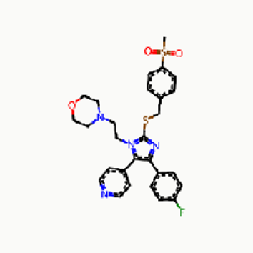 CS(=O)(=O)c1ccc(CSc2nc(-c3ccc(F)cc3)c(-c3ccncc3)n2CCN2CCOCC2)cc1